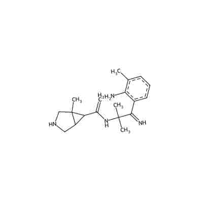 C=C(NC(C)(C)C(=N)c1cccc(C)c1N)C1C2CNCC21C